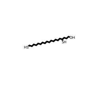 OCCCC(S)CCCCCCCCCCCCCCCS